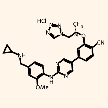 COc1cc(CNC2CC2)ccc1Nc1ncc(-c2ccc(C#N)c(O[C@@H](C)Cn3cnnn3)c2)cn1.Cl